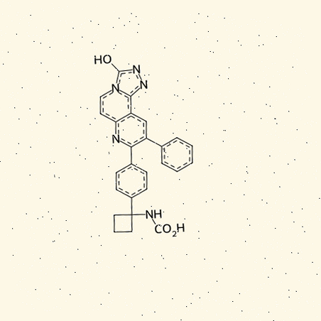 O=C(O)NC1(c2ccc(-c3nc4ccn5c(O)nnc5c4cc3-c3ccccc3)cc2)CCC1